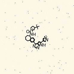 Cn1cc(-c2cc3c(-c4ccc5c(c4)CCCCC5NC(=O)N4CCC(C(C)(C)C)C4)ncnc3[nH]2)cn1